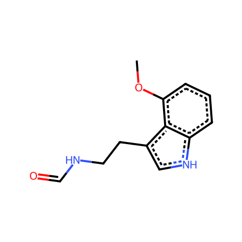 COc1cccc2[nH]cc(CCNC=O)c12